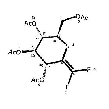 CC(=O)OC[C@H]1SC(=C(F)F)[C@H](OC(C)=O)[C@@H](OC(C)=O)[C@@H]1OC(C)=O